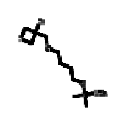 CCC1(COCCCCO[Si](C)(C)OC)COC1